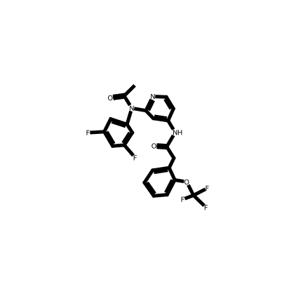 CC(=O)N(c1cc(F)cc(F)c1)c1cc(NC(=O)Cc2ccccc2OC(F)(F)F)ccn1